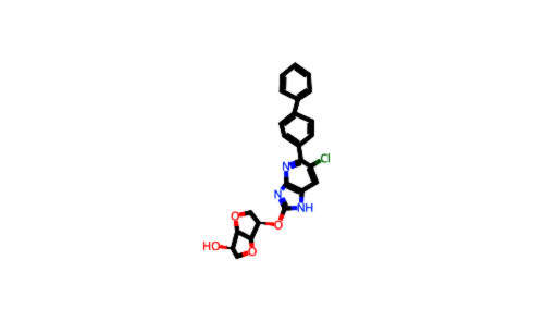 O[C@@H]1COC2C1OC[C@H]2Oc1nc2nc(-c3ccc(-c4ccccc4)cc3)c(Cl)cc2[nH]1